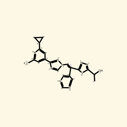 CC(O)c1nnc(/C(=C/n2cnc(-c3cc(C4CC4)nc(C(F)(F)F)c3)n2)c2cncnc2)s1